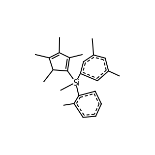 CC1=C(C)C(C)C([Si](C)(c2cc(C)cc(C)c2)c2ccccc2C)=C1C